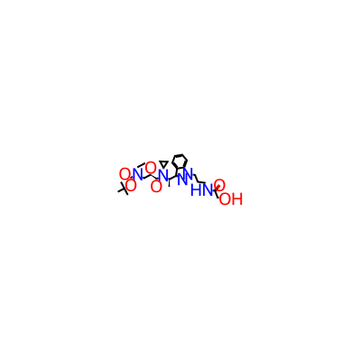 C[C@H](c1nn(CCCNC(=O)CO)c2ccccc12)N(C(=O)[C@H]1CN(C(=O)OC(C)(C)C)CCO1)C1CC1